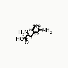 Nc1cc(C[C@@H](N)C(=O)O)ccn1